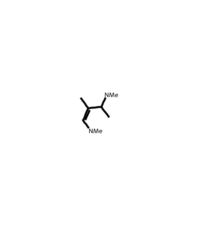 CN/C=C(/C)C(C)NC